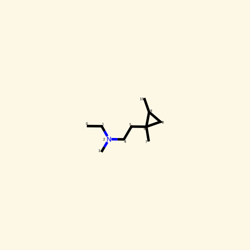 CCN(C)CCC1(C)CC1C